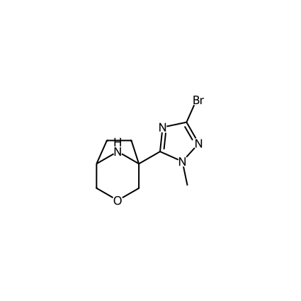 Cn1nc(Br)nc1C12CCC(COC1)N2